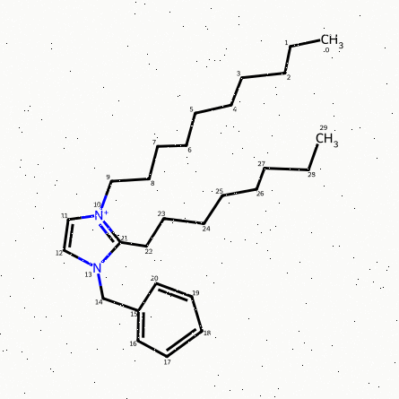 CCCCCCCCCC[n+]1ccn(Cc2ccccc2)c1CCCCCCCC